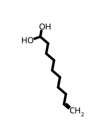 C=CCCCCCCCC(O)O